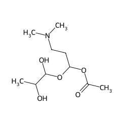 CC(=O)OC(CCN(C)C)OC(O)C(C)O